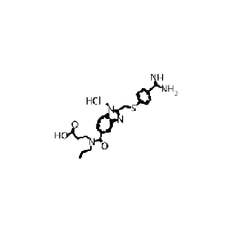 CCCN(CCC(=O)O)C(=O)c1ccc2c(c1)nc(CSc1ccc(C(=N)N)cc1)n2C.Cl